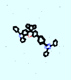 c1ccc(-c2nc(-c3ccccc3)nc(-c3ccc(-c4ccc5c(c4)Oc4c(ccc6c(-c7ccccc7)nc7ccccc7c46)C54c5ccccc5-c5ccccc54)cc3)n2)cc1